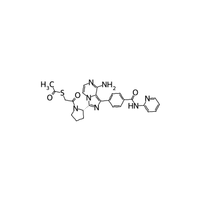 CC(=O)SCC(=O)N1CCC[C@H]1c1nc(-c2ccc(C(=O)Nc3ccccn3)cc2)c2c(N)nccn12